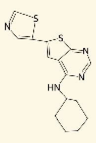 c1nc(NC2CCCCC2)c2cc(-c3cncs3)sc2n1